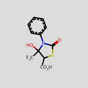 O=C(O)C1SC(=O)N(c2ccccc2)C1(O)C(F)(F)F